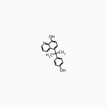 CC(C)(c1ccc(O)cc1)c1ccc(O)c2ncccc12